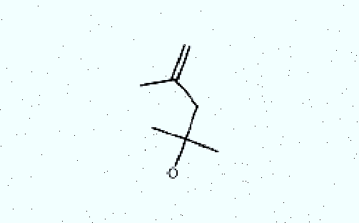 C=C(C)CC(C)(C)[O]